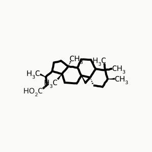 C[C@H](CC(=O)O)C1CC[C@@]2(C)C3CCC4C(C)(C)[C@@H](C)CC[C@@]45C[C@@]35CC[C@]12C